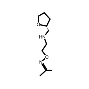 CC(C)=NOCCNC[C@H]1CCCO1